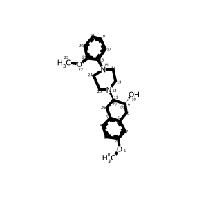 COc1ccc2c(c1)C[C@@H](O)[C@H](N1CCN(c3ccccc3OC)CC1)C2